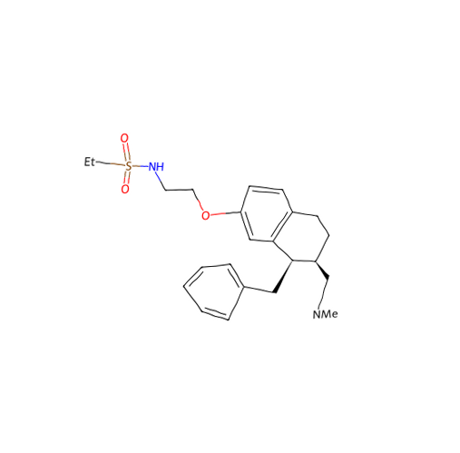 CCS(=O)(=O)NCCOc1ccc2c(c1)[C@H](Cc1ccccc1)[C@H](CNC)CC2